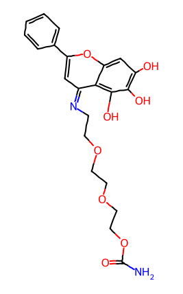 NC(=O)OCCOCCOCC/N=c1/cc(-c2ccccc2)oc2cc(O)c(O)c(O)c12